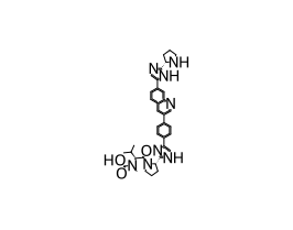 CC(C)[C@@H](C(=O)N1CCC[C@H]1c1nc(-c2ccc(-c3cnc4cc(-c5cnc([C@@H]6CCCN6)[nH]5)ccc4c3)cc2)c[nH]1)N(C)C(=O)O